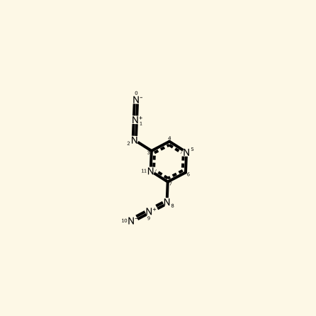 [N-]=[N+]=Nc1cncc(N=[N+]=[N-])n1